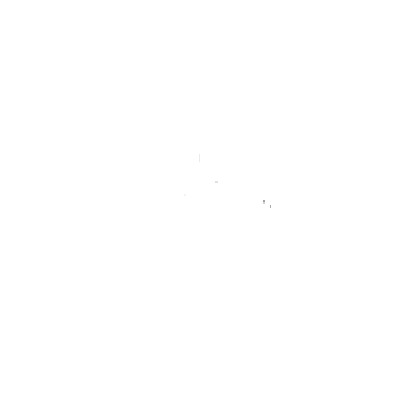 CC12COCCC1=CSC(N)=N2